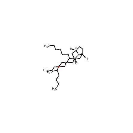 CCCCCCC(CCCCCC)C(=O)N1[C@@H]2CC[C@H]1CN(CCCCC(C)CCCC)C2